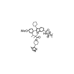 COc1ccc2c(c1)C(C)C(C)(C(=O)N1CCC(c3nncn3C)CC1)Cn1c-2c(C2CCCCC2)c2ccc(C(=O)NS(=O)(=O)N(C)C)cc21